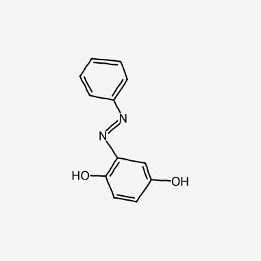 Oc1ccc(O)c(/N=N/c2ccccc2)c1